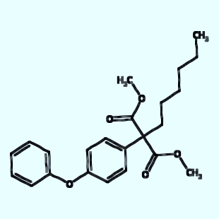 CCCCCCC(C(=O)OC)(C(=O)OC)c1ccc(Oc2ccccc2)cc1